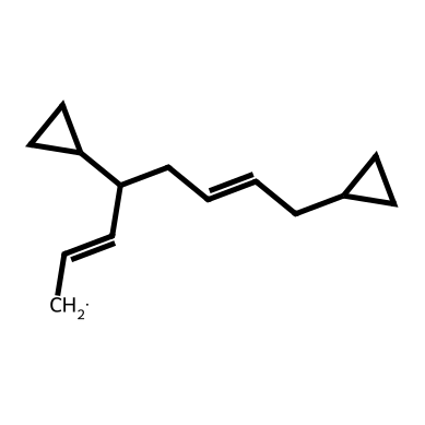 [CH2]C=CC(CC=CCC1CC1)C1CC1